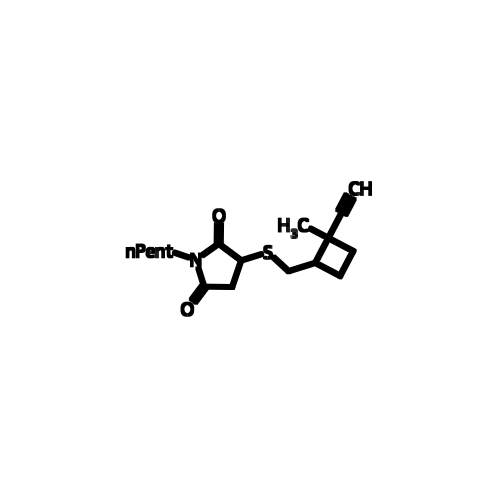 C#CC1(C)CCC1CSC1CC(=O)N(CCCCC)C1=O